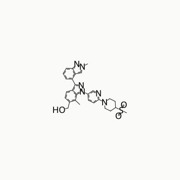 Cc1c(CO)ccc2c(-c3cccc4nn(C)cc34)nn(-c3ccc(N4CCC(S(C)(=O)=O)CC4)nc3)c12